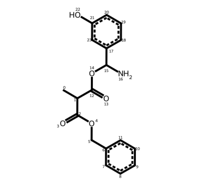 CC(C(=O)OCc1ccccc1)C(=O)OC(N)c1cccc(O)c1